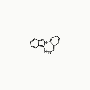 C1=CC2=CN=Nc3c4ccccc4cn3C2=CC1